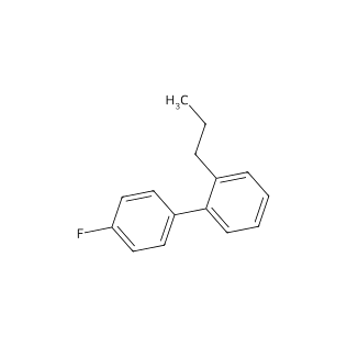 CCCc1ccccc1-c1ccc(F)cc1